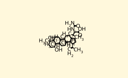 C=C(C)[C@@H]1CC[C@]2(C(C)(C)[C@H](NC(N)=O)C(=O)O)CC[C@]3(C)[C@H](CC[C@@H]4[C@@]5(C)C(O)CCC(C)(C)[C@@H]5CC[C@]43C)[C@@H]12